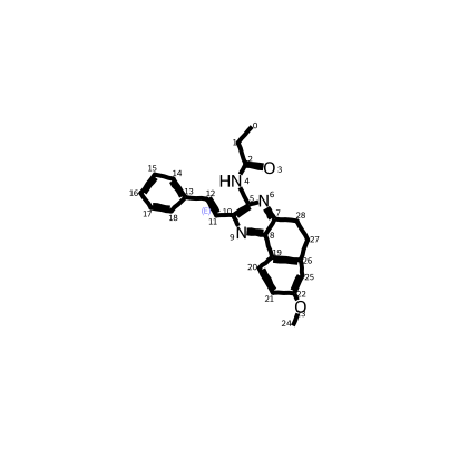 CCC(=O)Nc1nc2c(nc1/C=C/c1ccccc1)-c1ccc(OC)cc1CC2